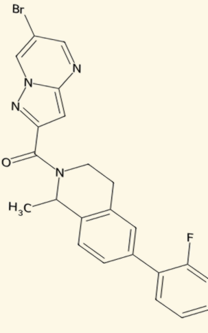 CC1c2ccc(-c3cccnc3F)cc2CCN1C(=O)c1cc2ncc(Br)cn2n1